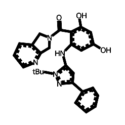 CC(C)(C)n1nc(-c2ccccc2)cc1Nc1cc(O)cc(O)c1C(=O)N1Cc2cccnc2C1